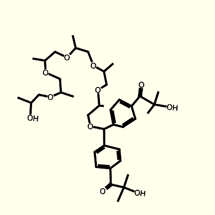 CC(O)COC(C)COC(C)COC(C)COC(C)COC(C)COC(c1ccc(C(=O)C(C)(C)O)cc1)c1ccc(C(=O)C(C)(C)O)cc1